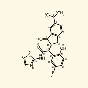 CC(C)c1ccc2c(c1)C(=O)N([C@H](C(=O)Nc1nccs1)c1cc(F)ccc1O)C2